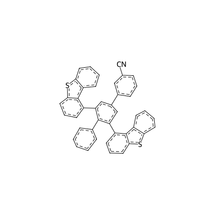 N#Cc1cccc(-c2cc(-c3cccc4sc5ccccc5c34)c(-c3ccccc3)c(-c3cccc4sc5ccccc5c34)c2)c1